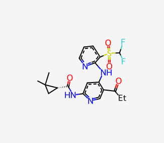 CCC(=O)c1cnc(NC(=O)[C@@H]2CC2(C)C)cc1Nc1ncccc1S(=O)(=O)C(F)F